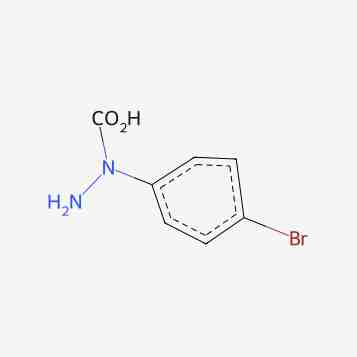 NN(C(=O)O)c1ccc(Br)cc1